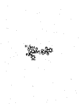 CNC(=O)c1cc(C(=O)NCC[C@H]2OC[C@H](N3C(=O)c4ccccc4C3=O)CO2)cc2c1O[C@H](CF)[C@H]2c1ccccc1